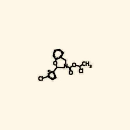 CC(Cl)OC(=O)N1Cc2ccccc2OC(c2ccc(Cl)s2)C1